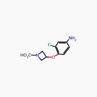 Nc1ccc(OC2CN(C(=O)O)C2)c(F)c1